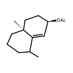 CC(=O)O[C@H]1C=C2C(C)CCC[C@@]2(C)CC1